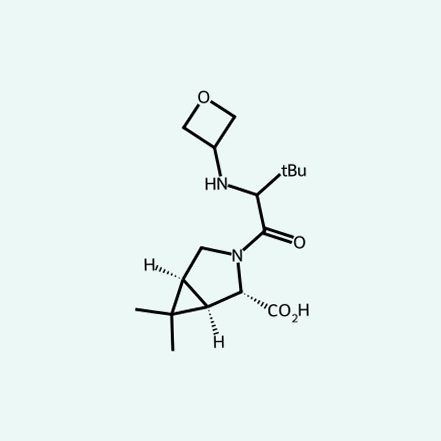 CC(C)(C)C(NC1COC1)C(=O)N1C[C@H]2[C@@H]([C@H]1C(=O)O)C2(C)C